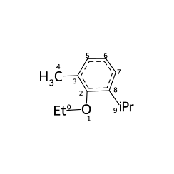 CCOc1c(C)cccc1C(C)C